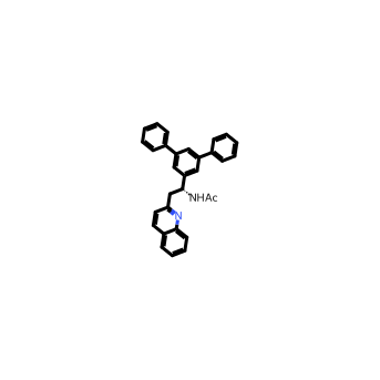 CC(=O)N[C@H](Cc1ccc2ccccc2n1)c1cc(-c2ccccc2)cc(-c2ccccc2)c1